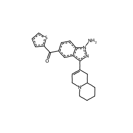 Nn1nc(C2=CCN3CCCCC3C2)c2cc(C(=O)c3cccs3)ccc21